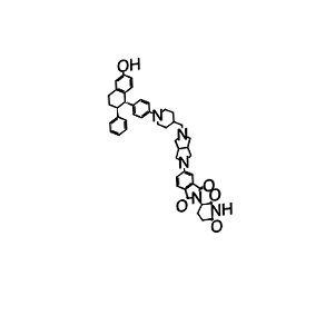 O=C1CCC(N2C(=O)c3ccc(N4CC5CN(CC6CCN(c7ccc([C@@H]8c9ccc(O)cc9CC[C@@H]8c8ccccc8)cc7)CC6)CC5C4)cc3C2=O)C(=O)N1